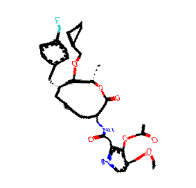 COc1ccnc(C(=O)N[C@H]2CCC[C@H](Cc3ccc(F)cc3)[C@@H](OCC3CC3)[C@H](C)OC2=O)c1OC(C)=O